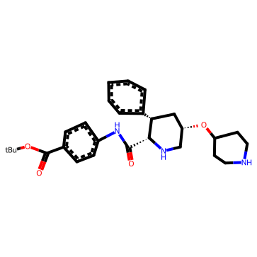 CC(C)(C)OC(=O)c1ccc(NC(=O)[C@H]2NC[C@@H](OC3CCNCC3)C[C@H]2c2ccccc2)cc1